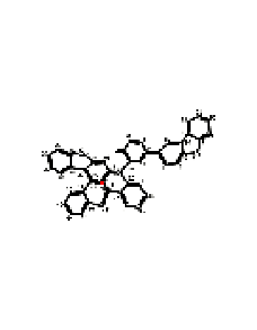 c1cc(-c2ccc3sc4ccccc4c3c2)cc(N(c2ccc3c(c2)sc2ccccc23)c2ccccc2-c2ccc3ccccc3c2)c1